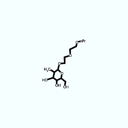 CCCOCCOCCOC1OC(CO)C(O)C(O)C1C